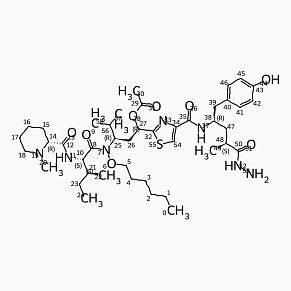 CCCCCCON(C(=O)[C@@H](NC(=O)[C@H]1CCCCN1C)[C@@H](C)CC)[C@H](C[C@@H](OC(C)=O)c1nc(C(=O)N[C@@H](Cc2ccc(O)cc2)C[C@H](C)C(=O)NN)cs1)C(C)C